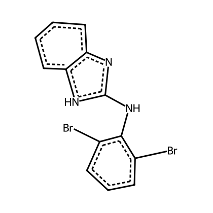 Brc1cccc(Br)c1Nc1nc2ccccc2[nH]1